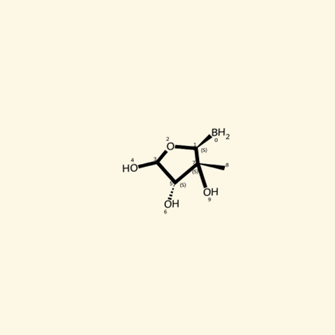 B[C@@H]1OC(O)[C@@H](O)[C@@]1(C)O